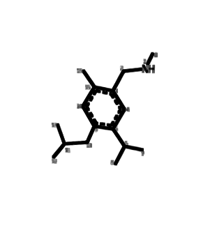 CNCc1cc(C(C)C)c(CC(C)C)cc1C